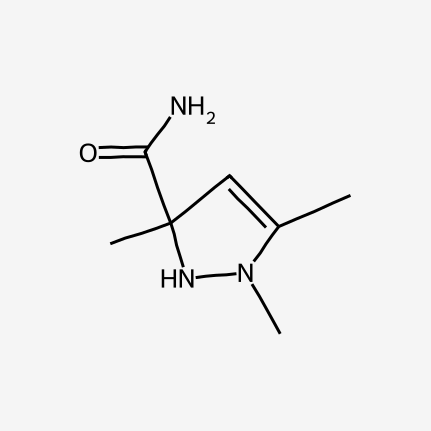 CC1=CC(C)(C(N)=O)NN1C